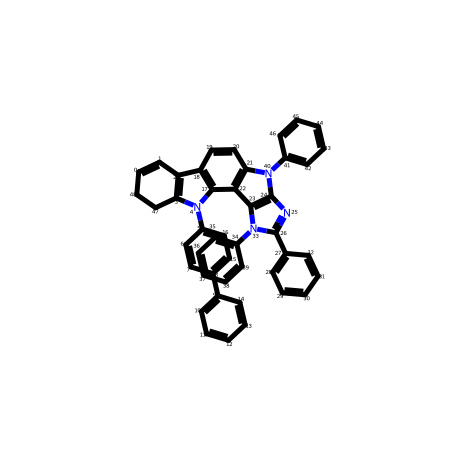 C1=Cc2c(n(-c3ccc(-c4ccccc4)cc3)c3c2ccc2c3c3c(nc(-c4ccccc4)n3-c3ccccc3)n2-c2ccccc2)CC1